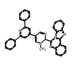 CN1C=C(c2cc(-c3ccccc3)nc(-c3ccccc3)c2)C=NC1c1nc2ccccc2c2nc3ccccc3n12